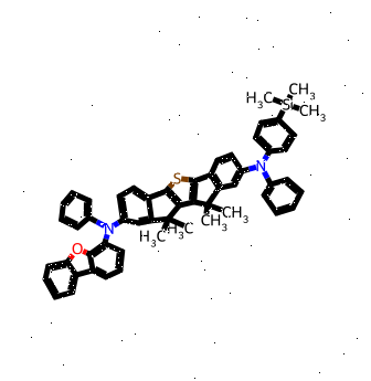 CC1(C)c2cc(N(c3ccccc3)c3ccc([Si](C)(C)C)cc3)ccc2-c2sc3c(c21)C(C)(C)c1cc(N(c2ccccc2)c2cccc4c2oc2ccccc24)ccc1-3